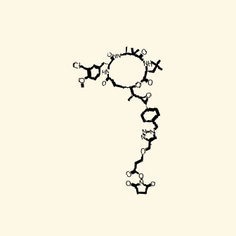 COc1ccc(C[C@H]2NC(=O)/C=C/C[C@H]([C@H](C)[C@H]3O[C@@H]3c3ccc(Cn4cc(COCCC(=O)ON5C(=O)CCC5=O)nn4)cc3)OC(=O)[C@H](CC(C)(C)C)NC(=O)C(C)(C)[C@H](C)NC2=O)cc1Cl